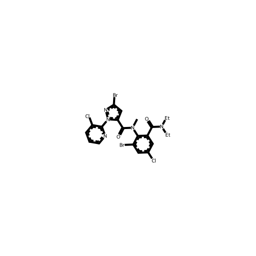 CCN(CC)C(=O)c1cc(Cl)cc(Br)c1N(C)C(=O)c1cc(Br)nn1-c1ncccc1Cl